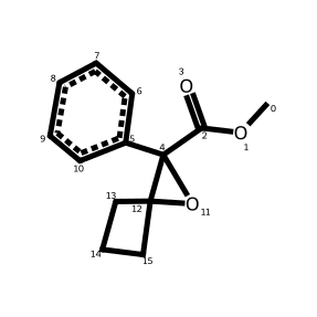 COC(=O)C1(c2ccccc2)OC12CCC2